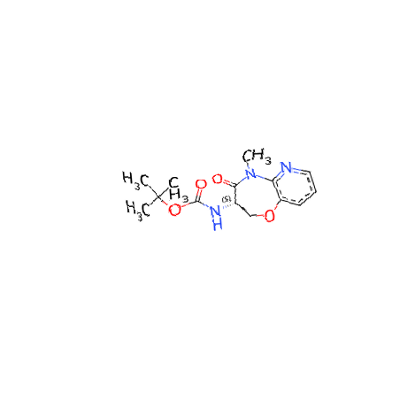 CN1C(=O)[C@@H](NC(=O)OC(C)(C)C)COc2cccnc21